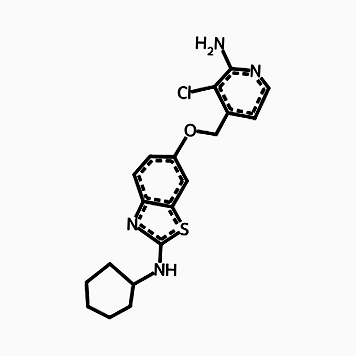 Nc1nccc(COc2ccc3nc(NC4CCCCC4)sc3c2)c1Cl